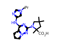 CC(C)n1cnc(Nc2nc(N3CC(C)(C)CC3(C)C(=O)O)nn3cccc23)c1